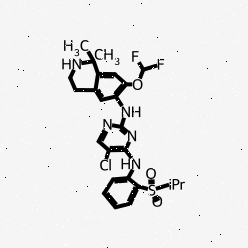 CC(C)S(=O)(=O)c1ccccc1Nc1nc(Nc2cc3c(cc2OC(F)F)C(C)(C)NCC3)ncc1Cl